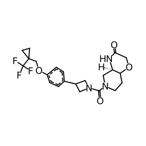 O=C1COC2CCN(C(=O)N3CC(c4ccc(OCC5(C(F)(F)F)CC5)cc4)C3)C[C@H]2N1